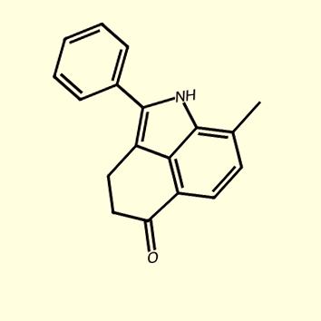 Cc1ccc2c3c(c(-c4ccccc4)[nH]c13)CCC2=O